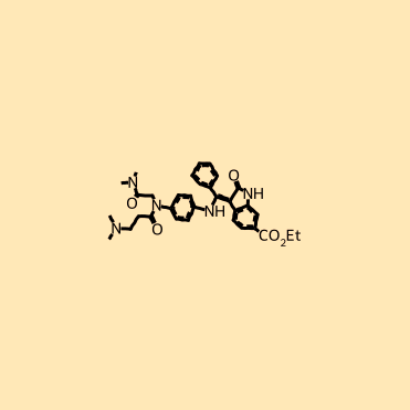 CCOC(=O)c1ccc2c(c1)NC(=O)C2=C(Nc1ccc(N(CC(=O)N(C)C)C(=O)CCN(C)C)cc1)c1ccccc1